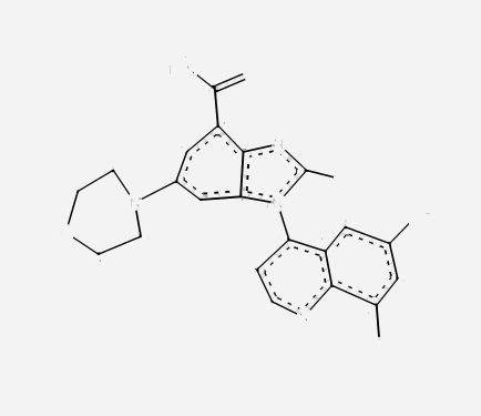 Cc1nc2c(C(N)=O)cc(N3CCOCC3)cc2n1-c1ccnc2c(F)cc(F)cc12